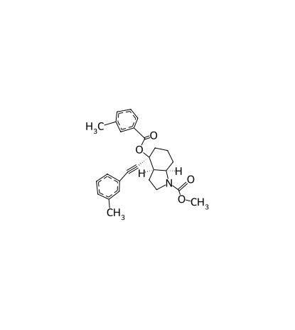 COC(=O)N1CC[C@@H]2[C@H]1CCC[C@]2(C#Cc1cccc(C)c1)OC(=O)c1cccc(C)c1